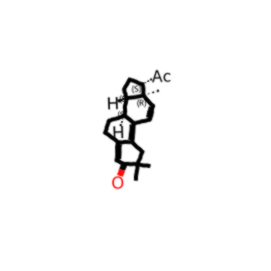 CC(=O)[C@H]1CC[C@H]2[C@@H]3CCC4=CC(=O)C(C)(C)CC4=C3C=C[C@]12C